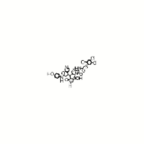 O=C(CC(C(=C1CCNC1=O)C1=C(C(=O)O)N2C(=O)[C@@H](NC(=O)CSc3cc(Cl)c(Cl)cc3Cl)[C@H]2SC1)c1ccncc1)Nc1ccc(O)cc1